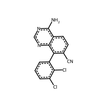 N#Cc1ccc2c(N)ncnc2c1-c1cccc(Cl)c1Cl